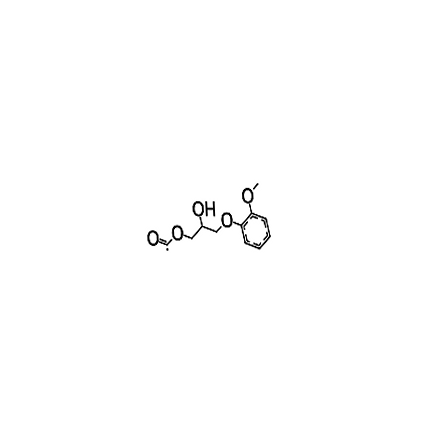 COc1ccccc1OCC(O)CO[C]=O